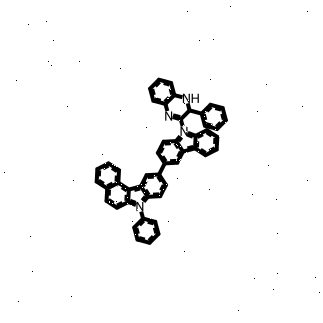 c1ccc(C2Nc3ccccc3N=C2n2c3ccccc3c3cc(-c4ccc5c(c4)c4c6ccccc6ccc4n5-c4ccccc4)ccc32)cc1